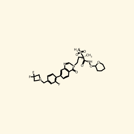 C[C@@](CCn1cnc2cc(-c3ccc(CN4CC(F)(F)C4)cc3F)ccc2c1=O)(C(=O)NOC1CCCCO1)S(C)(=O)=O